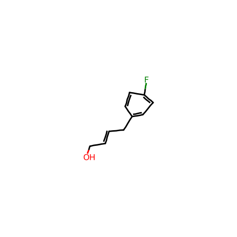 OCC=CCc1ccc(F)cc1